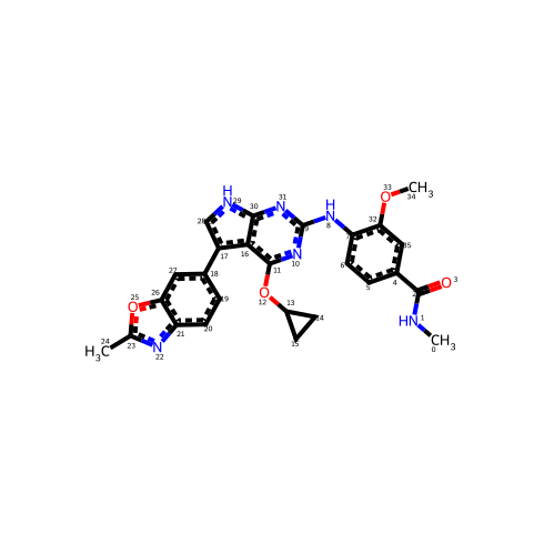 CNC(=O)c1ccc(Nc2nc(OC3CC3)c3c(-c4ccc5nc(C)oc5c4)c[nH]c3n2)c(OC)c1